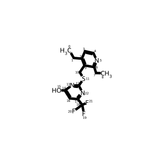 CCc1ccnc(CC)c1CSc1nc(O)cc(C(F)(F)F)n1